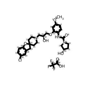 COc1ccc(NC(=O)N2CC[C@H](O)C2)c(OC[C@@H](O)CN2CCC3(CC2)Cc2cc(Cl)ccc2O3)c1.O=C(O)C(F)(F)F